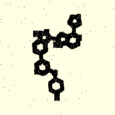 c1cc2[nH]c(-c3n[nH]c4ccc(-c5cncc(OC6CCNCC6)c5)cc34)cc2c(-c2ccsc2)n1